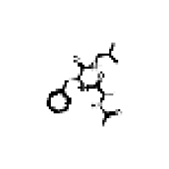 CC(=O)N[C@@H](C)C(=O)N[C@@H](Cc1ccccc1)C(=O)NCC(C)C